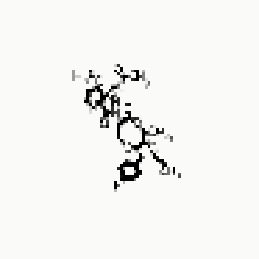 CCCO[C@H]1[C@H](C)OC(=O)[C@@H](NC(=O)c2nccc(OC)c2OCOC(C)=O)CCO[C@@H]1Cc1ccc(F)cc1